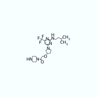 CC(C)CCNc1nc(N2CCC(OCC(=O)N3CCNCC3)C2)cc(C(F)(F)F)n1